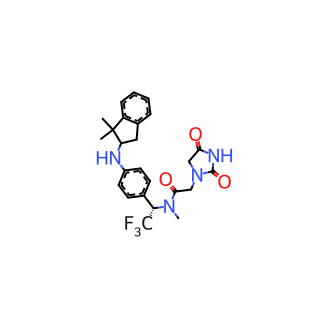 CN(C(=O)CN1CC(=O)NC1=O)[C@@H](c1ccc(NC2Cc3ccccc3C2(C)C)cc1)C(F)(F)F